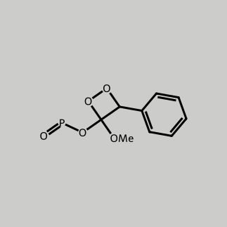 COC1(OP=O)OOC1c1ccccc1